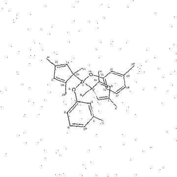 CC1=C[C](C)([Zr]([O]c2cccc(C)c2)([O]c2cccc(C)c2)[C]2(C)C=C(C)C=C2C)C(C)=C1